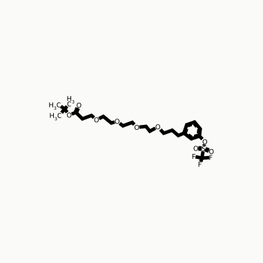 CC(C)(C)OC(=O)CCOCCOCCOCCOCCCc1cccc(OS(=O)(=O)C(F)(F)F)c1